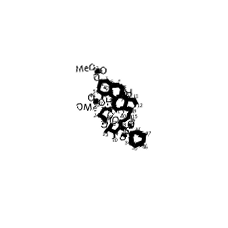 COC(=O)O[C@@H]1CC2=CC=C3[C@@H]4CC[C@H]([C@H](C)C(O)C([C@@H](C)C(C)(C)OC5CCCO5)S(=O)(=O)c5ccccc5)[C@@]4(C)CC[C@@H]3[C@@]2(C)[C@@H](OC(=O)OC)C1